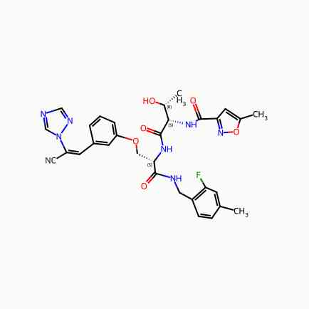 Cc1ccc(CNC(=O)[C@H](COc2cccc(C=C(C#N)n3cncn3)c2)NC(=O)[C@@H](NC(=O)c2cc(C)on2)[C@@H](C)O)c(F)c1